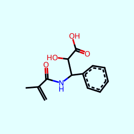 C=C(C)C(=O)NC(c1ccccc1)C(O)C(=O)O